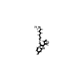 Cc1ccn2c(CCCCCCCCN)c(-c3ccoc3)nc2c1